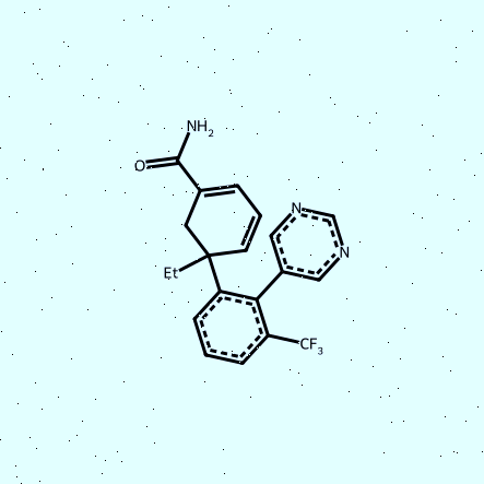 CCC1(c2cccc(C(F)(F)F)c2-c2cncnc2)C=CC=C(C(N)=O)C1